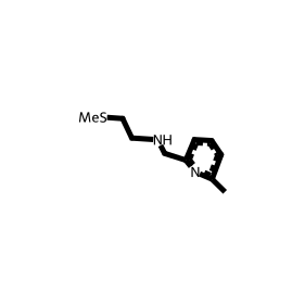 CSCCNCc1cccc(C)n1